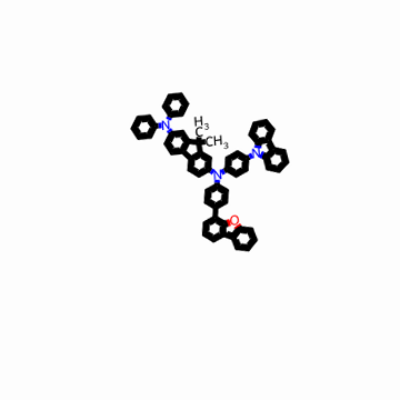 CC1(C)c2cc(N(c3ccccc3)c3ccccc3)ccc2-c2ccc(N(c3ccc(-c4cccc5c4oc4ccccc45)cc3)c3ccc(-n4c5ccccc5c5ccccc54)cc3)cc21